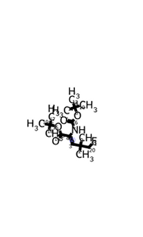 CC(C)(/C=C(\NC(=O)OC(C)(C)C)C(=O)OC(C)(C)C)CF